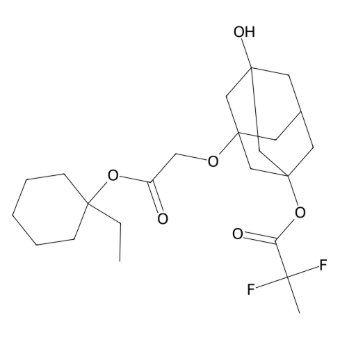 CCC1(OC(=O)COC23CC4CC(O)(C2)CC(OC(=O)C(C)(F)F)(C4)C3)CCCCC1